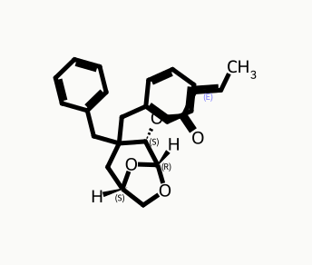 C/C=C/C(=O)O[C@@H]1[C@@H]2OC[C@H](CC1(Cc1ccccc1)Cc1ccccc1)O2